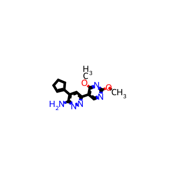 COc1ncc(-c2cc(C3=CCCC3)c(N)nn2)c(OC)n1